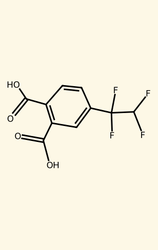 O=C(O)c1ccc(C(F)(F)C(F)F)cc1C(=O)O